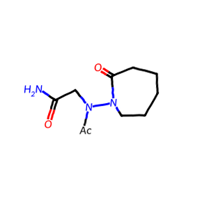 CC(=O)N(CC(N)=O)N1CCCCCC1=O